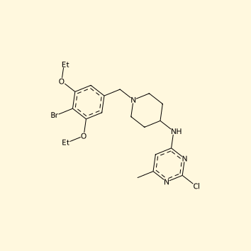 CCOc1cc(CN2CCC(Nc3cc(C)nc(Cl)n3)CC2)cc(OCC)c1Br